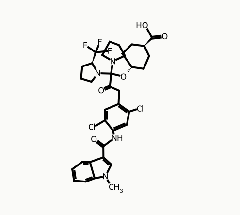 Cn1cc(C(=O)Nc2cc(Cl)c(CC(=O)C(O[C@H]3CC[C@H](C(=O)O)CC3)(N3CCCC3)N3CCC[C@H]3C(F)(F)F)cc2Cl)c2ccccc21